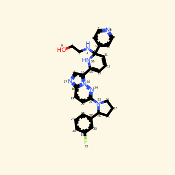 OCCNC1(c2ccncc2)C=CC=C(c2cnc3ccc(N4CCCC4c4cccc(F)c4)nn23)N1